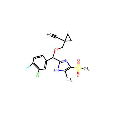 C#CC1(COC(c2ccc(F)c(Cl)c2)c2nc(S(C)(=O)=O)c(C)[nH]2)CC1